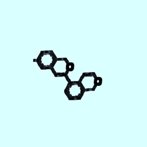 [c]1ccc2c(c1)C=C(c1cccc3c1C=COC3)OC2